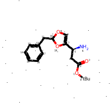 CC(C)(C)OC(=O)C[C@H](N)C1=COC(Cc2ccccc2)O1